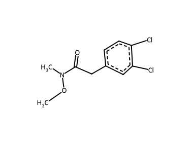 CON(C)C(=O)Cc1ccc(Cl)c(Cl)c1